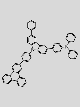 c1ccc(-c2ccc3c(c2)c2cc(-c4ccc(N(c5ccccc5)c5ccccc5)cc4)ccc2n3-c2ccc(-c3ccc4c5ccccc5c5ccccc5c4c3)cc2)cc1